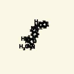 Cn1cncc1-c1n[nH]cc1C(=O)N1CCc2nc(NC3Cc4ccccc4C3)ncc2C1